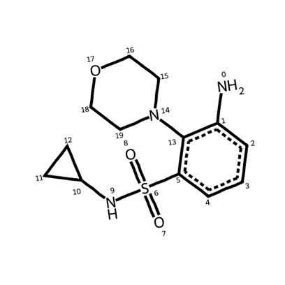 Nc1cccc(S(=O)(=O)NC2CC2)c1N1CCOCC1